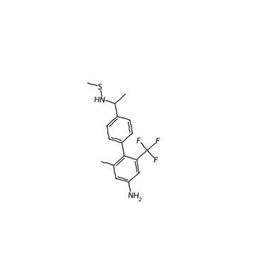 CSNC(C)c1ccc(-c2c(C)cc(N)cc2C(F)(F)F)cc1